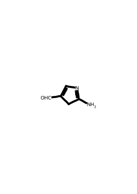 NC1=NC=C(C=O)C1